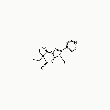 CCN1C(c2ccncc2)=NN2C(=O)C(CC)(CC)C(=O)N=C12